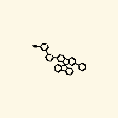 N#Cc1cncc(-c2cccc(-c3ccc4c(c3)C3(c5ccccc5-c5ccccc53)c3cc(-c5ccccc5)ccc3-4)n2)c1